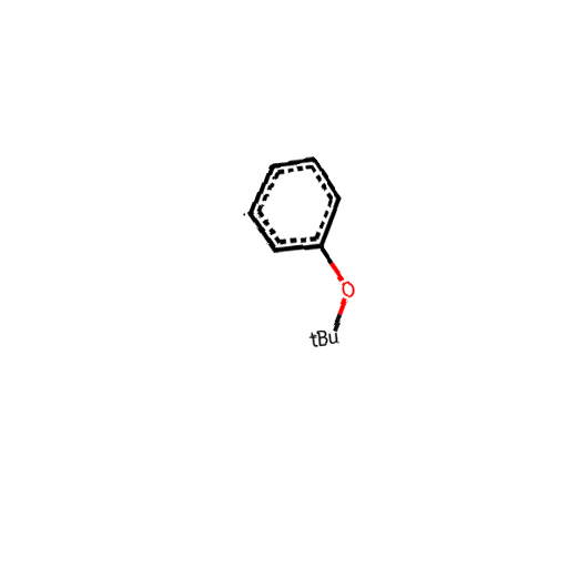 CC(C)(C)Oc1c[c]ccc1